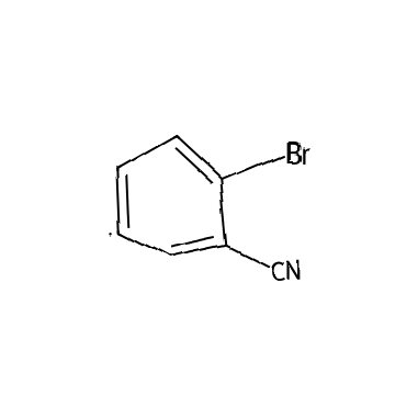 N#Cc1c[c]ccc1Br